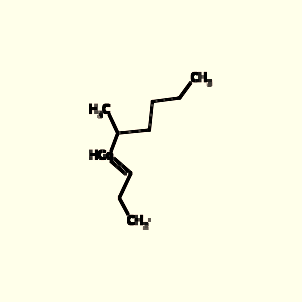 [CH2]C[CH]=[GeH][CH](C)CCCC